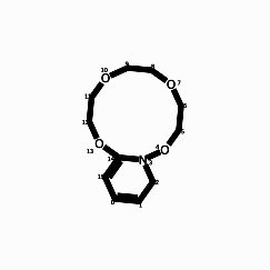 C1=CCN2OCCOCCOCCOC2=C1